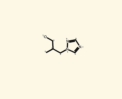 CC(C[O])Cn1cncn1